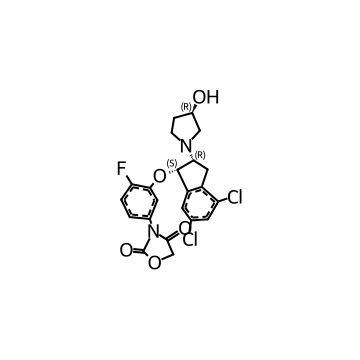 O=C1COC(=O)N1c1ccc(F)c(O[C@H]2c3cc(Cl)cc(Cl)c3C[C@H]2N2CC[C@@H](O)C2)c1